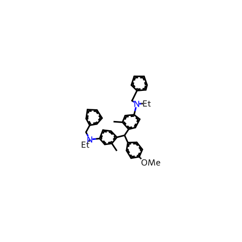 CCN(Cc1ccccc1)c1ccc(C(c2ccc(OC)cc2)c2ccc(N(CC)Cc3ccccc3)cc2C)c(C)c1